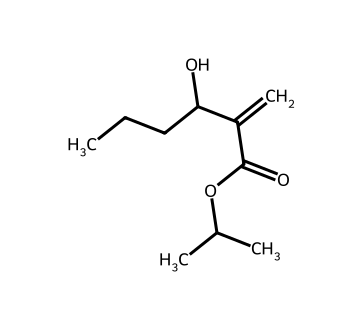 C=C(C(=O)OC(C)C)C(O)CCC